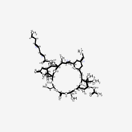 C/C=C1/C[C@H]2C[C@]3(O)O[C@H](C[C@@H](O)CC(=O)O[C@@H](CO)C[C@H]4O[C@@](O)(C(C)/C=C/[C@@H](C1)O2)[C@@H](OC(=O)/C=C/C=C/CCC)C1=CC(=O)O[C@H]14)C[C@H](OC(C)=O)C3(C)C